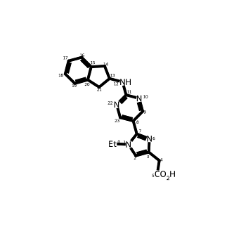 CCn1cc(CC(=O)O)nc1-c1cnc(NC2Cc3ccccc3C2)nc1